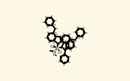 C[SiH](C)[Zr]([Cl])([Cl])([CH]1C(c2ccccc2)=Cc2c(Cc3ccccc3)cccc21)[CH]1C(c2ccccc2)=Cc2c(Cc3ccccc3)cccc21